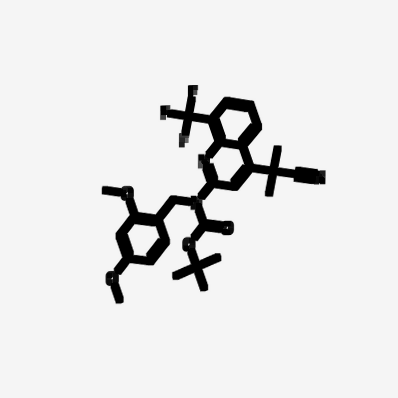 COc1ccc(CN(C(=O)OC(C)(C)C)c2cc(C(C)(C)C#N)c3cccc(C(F)(F)F)c3n2)c(OC)c1